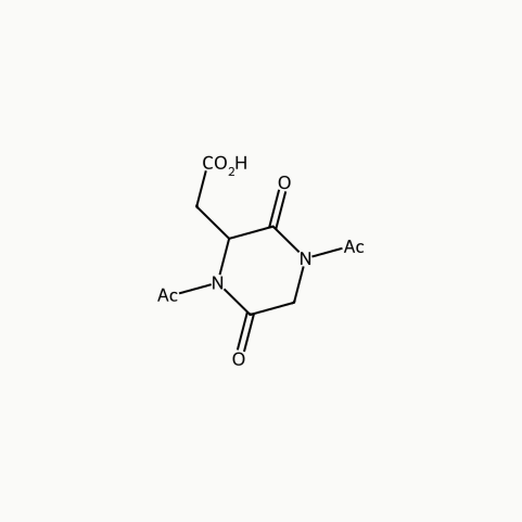 CC(=O)N1CC(=O)N(C(C)=O)C(CC(=O)O)C1=O